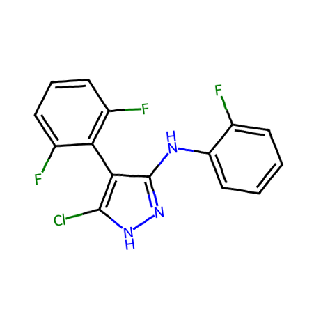 Fc1ccccc1Nc1n[nH]c(Cl)c1-c1c(F)cccc1F